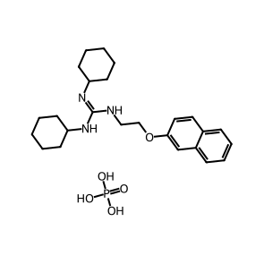 O=P(O)(O)O.c1ccc2cc(OCCN/C(=N\C3CCCCC3)NC3CCCCC3)ccc2c1